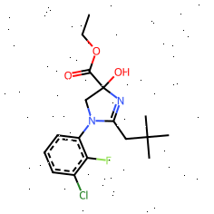 CCOC(=O)C1(O)CN(c2cccc(Cl)c2F)C(CC(C)(C)C)=N1